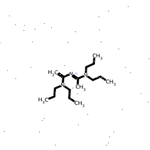 C=C(/N=C(\C)N(CCC)CCC)N(CCC)CCC